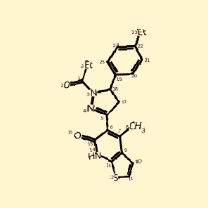 CCC(=O)N1N=C(c2c(C)c3ccsc3[nH]c2=O)CC1c1ccc(CC)cc1